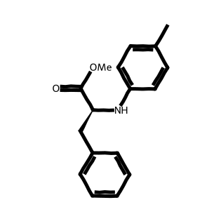 COC(=O)[C@H](Cc1ccccc1)Nc1ccc(C)cc1